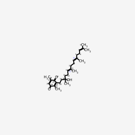 CC(C)=CCC/C(C)=C/CC/C(C)=C/CCC(C)(O)CCC1=C(C)C(=O)C=C(C)C1=O